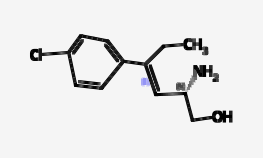 CC/C(=C\[C@H](N)CO)c1ccc(Cl)cc1